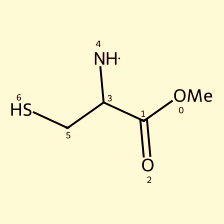 COC(=O)C([NH])CS